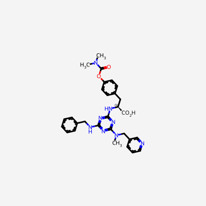 CN(C)C(=O)Oc1ccc(C[C@H](Nc2nc(NCc3ccccc3)nc(N(C)Cc3cccnc3)n2)C(=O)O)cc1